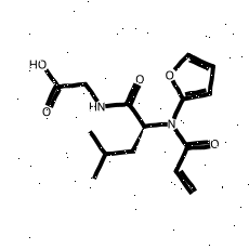 C=CC(=O)N(c1ccco1)[C@@H](CC(C)C)C(=O)NCC(=O)O